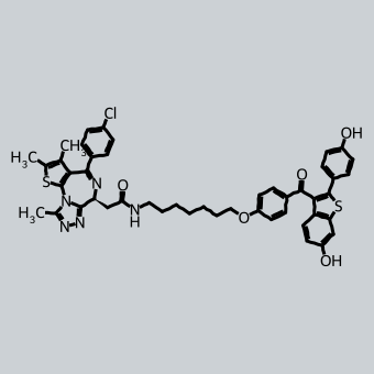 Cc1sc2c(c1C)C(c1ccc(Cl)cc1)=N[C@@H](CC(=O)NCCCCCCCOc1ccc(C(=O)c3c(-c4ccc(O)cc4)sc4cc(O)ccc34)cc1)c1nnc(C)n1-2